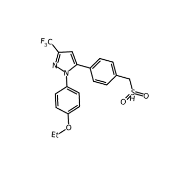 CCOc1ccc(-n2nc(C(F)(F)F)cc2-c2ccc(C[SH](=O)=O)cc2)cc1